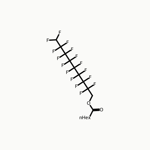 CCCCCCC(=O)OCC(F)(F)C(F)(F)C(F)(F)C(F)(F)C(F)(F)C(F)(F)C(F)(F)C(F)F